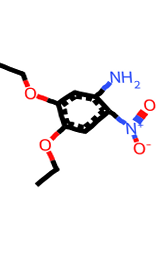 CCOc1cc(N)c([N+](=O)[O-])cc1OCC